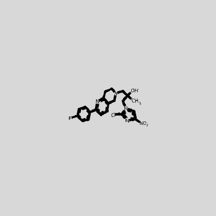 CC(O)(CN1CCc2nc(-c3ccc(F)cc3)ccc2C1)Cn1cc([N+](=O)[O-])nc1Cl